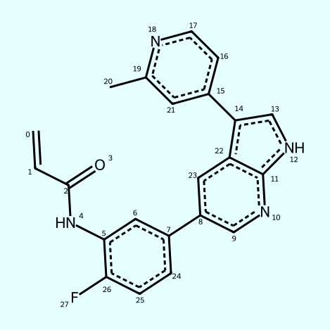 C=CC(=O)Nc1cc(-c2cnc3[nH]cc(-c4ccnc(C)c4)c3c2)ccc1F